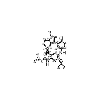 Cc1c(Nc2ncc(Cl)c(-c3cn(C)c4ccccc34)n2)c(OC(C)C)nc(NCCN(C)C)c1[N+](=O)[O-]